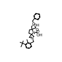 Cc1c(CN2CC3(CCC(COCc4ccccc4)(C(=O)O)N3C(=O)O)C2)cccc1C(C)(C)C